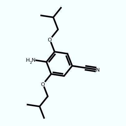 CC(C)COc1cc(C#N)cc(OCC(C)C)c1N